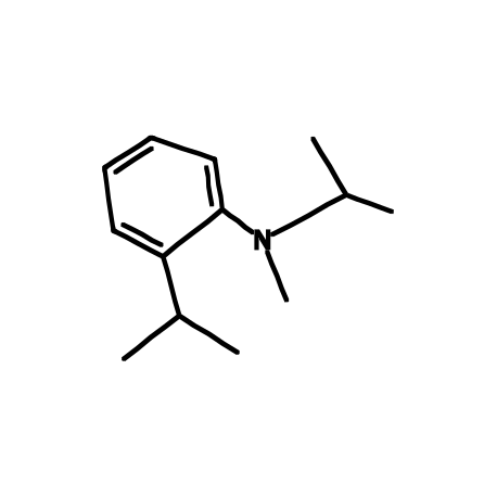 CC(C)c1ccccc1N(C)C(C)C